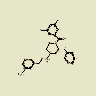 Cc1cc(C)cc(C(=O)N2CC[C@H](NCCc3cccc(C(F)(F)F)c3)C[C@H]2Cc2ccccc2)c1